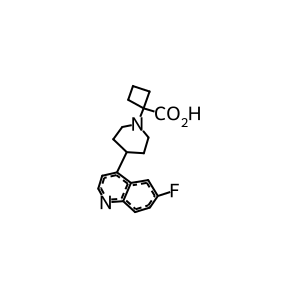 O=C(O)C1(N2CCC(c3ccnc4ccc(F)cc34)CC2)CCC1